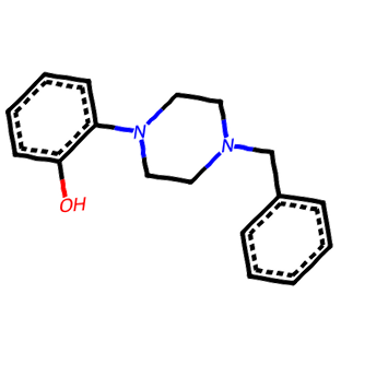 Oc1ccccc1N1CCN(Cc2ccccc2)CC1